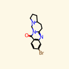 O=c1c2ccc(Br)cc2nc2n1CN1CCCC1CC2